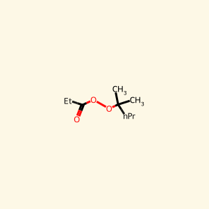 CCCC(C)(C)OOC(=O)CC